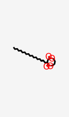 CCCCCCCCCCCCCCCC=CCC1CC(=O)OCCCCOC1=O